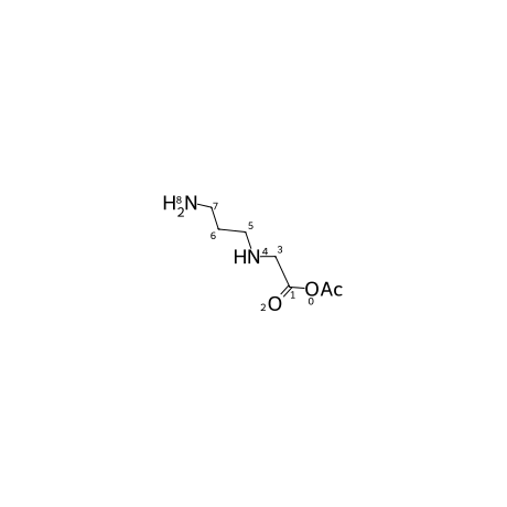 CC(=O)OC(=O)CNCCCN